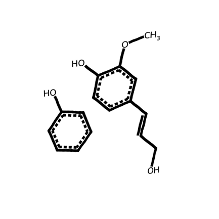 COc1cc(/C=C/CO)ccc1O.Oc1ccccc1